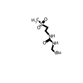 CC(C)(C)CNC(=O)NCCS(C)(=O)=O